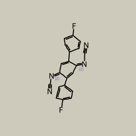 N#C/N=C1C=C(c2ccc(F)cc2)/C(=N\C#N)C=C/1c1ccc(F)cc1